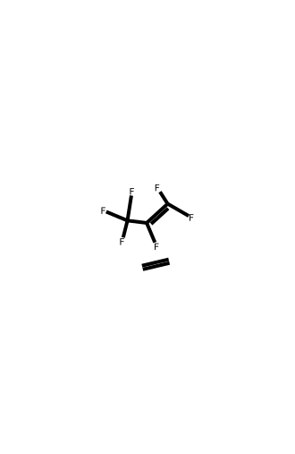 C=C.FC(F)=C(F)C(F)(F)F